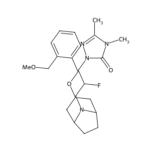 COCc1ccccc1COC1CC2CCC(C1)N2CC(F)Cn1nc(C)n(C)c1=O